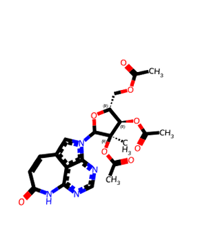 CC(=O)OC[C@H]1OC(n2cc3c4c(ncnc42)NC(=O)C=C3)[C@](C)(OC(C)=O)[C@@H]1OC(C)=O